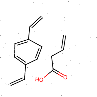 C=CCC(=O)O.C=Cc1ccc(C=C)cc1